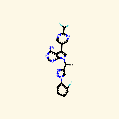 CCC(c1cn(-c2ccccc2F)nn1)n1cc(-c2cnc(C(F)F)nc2)c2c(N)ncnc21